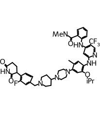 CNC(=O)c1ccccc1Nc1cc(Nc2cc(C)c(N3CCN(C4CCN(Cc5ccc(C6CCC(=O)NC6=O)c(F)c5)CC4)CC3)cc2OC(C)C)ncc1C(F)(F)F